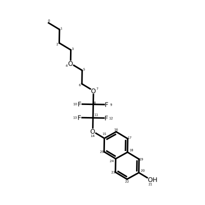 CCCCOCCOC(F)(F)C(F)(F)Oc1ccc2cc(O)ccc2c1